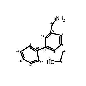 CCO.NCc1cccc(-c2ccccc2)c1